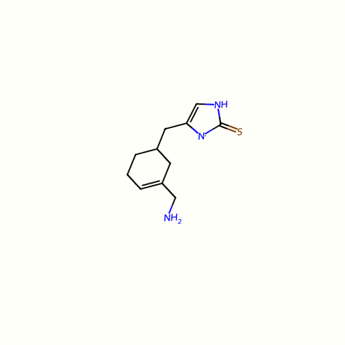 NCC1=CCCC(CC2=CNC(=S)[N]2)C1